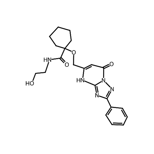 O=C(NCCO)C1(OCc2cc(=O)n3nc(-c4ccccc4)nc3[nH]2)CCCCC1